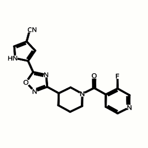 N#Cc1c[nH]c(-c2nc(C3CCCN(C(=O)c4ccncc4F)C3)no2)c1